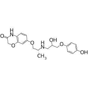 C[C@H](COc1ccc2c(c1)OCC(=O)N2)NCC(O)COc1ccc(O)cc1